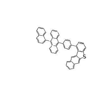 c1ccc2cc3c(cc2c1)sc1cccc(-c2ccc(-c4c5ccccc5c(-c5cccc6ccccc56)c5ccccc45)cc2)c13